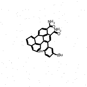 CC(C)(C)c1ccc(C(C)(C)C)c(-c2cc(C(N)=O)c3c(C(N)=O)ccc4c5cccc6cccc(c2c34)c65)c1